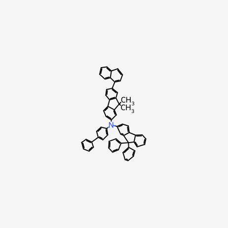 CC1(C)c2cc(-c3cccc4ccccc34)ccc2-c2ccc(N(c3ccc(-c4ccccc4)cc3)c3ccc4c(c3)C(c3ccccc3)(c3ccccc3)c3ccccc3-4)cc21